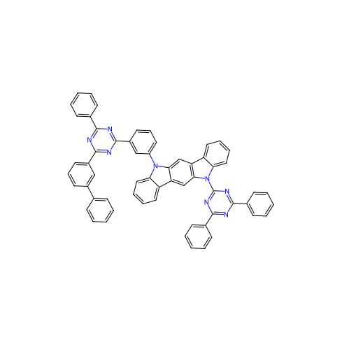 c1ccc(-c2cccc(-c3nc(-c4ccccc4)nc(-c4cccc(-n5c6ccccc6c6cc7c(cc65)c5ccccc5n7-c5nc(-c6ccccc6)nc(-c6ccccc6)n5)c4)n3)c2)cc1